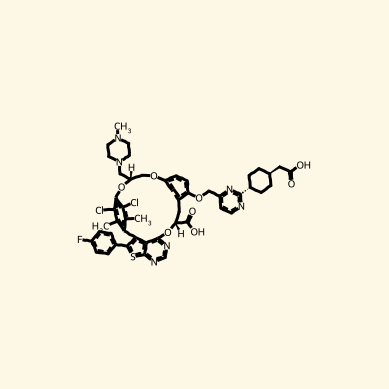 Cc1c(Cl)c2c(Cl)c(C)c1-c1c(-c3ccc(F)cc3)sc3ncnc(c13)O[C@@H](C(=O)O)Cc1cc(ccc1OCc1ccnc([C@H]3CC[C@H](CC(=O)O)CC3)n1)OC[C@@H](CN1CCN(C)CC1)O2